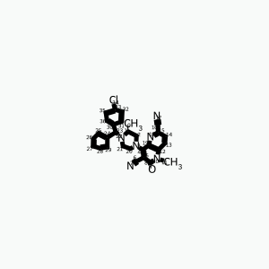 C[C@@H]1CN(c2c(C#N)c(=O)n(C)c3ccc(C#N)nc23)CCN1C(c1ccccc1)c1ccc(Cl)cc1